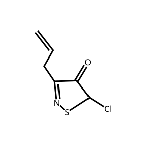 C=CCC1=NSC(Cl)C1=O